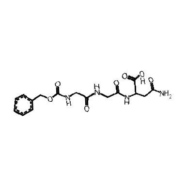 NC(=O)CC(NC(=O)CNC(=O)CNC(=O)OCc1ccccc1)C(=O)O